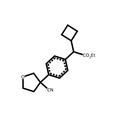 CCOC(=O)C(c1ccc(C2(C#N)CCOC2)cc1)C1CCC1